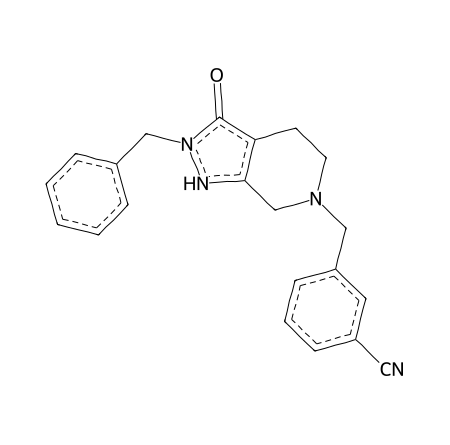 N#Cc1cccc(CN2CCc3c([nH]n(Cc4ccccc4)c3=O)C2)c1